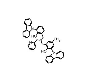 Cc1cc(CN(Cc2ccccn2)Cc2cccc(-n3c4ccccc4c4ccccc43)c2O)c(O)c(-n2c3ccccc3c3ccccc32)c1